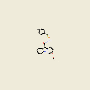 Cc1ccc(CS(=O)(=O)NC(=O)c2c3ccccc3n3cc(OCC#N)ccc23)cc1